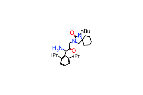 CCCCN1C(=O)N(CC(=O)C(N)c2c(C(C)C)cccc2C(C)C)CC12CCCCC2